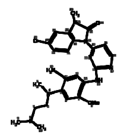 COc1cc(N(C)CCN(C)C)c(N)cc1Nc1nccc(-n2c(=O)n(C)c3cc(Cl)ccc32)n1